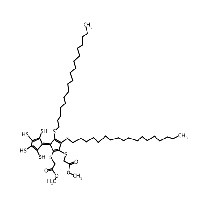 CCCCCCCCCCCCCCCCCCSC1=C(SCCCCCCCCCCCCCCCCCC)C(=C2C(S)=C(S)C(S)=C2S)C(SCC(=O)OC)=C1SCC(=O)OC